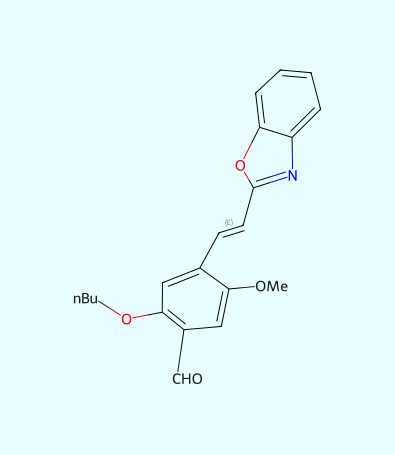 CCCCOc1cc(/C=C/c2nc3ccccc3o2)c(OC)cc1C=O